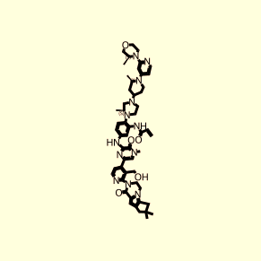 C=CC(=O)Nc1cc(Nc2nc(-c3ccnc(N4CCn5c(cc6c5CC(C)(C)C6)C4=O)c3CO)cn(C)c2=O)ccc1N1CCN(C2CCN(c3ccnc(N4CCOC[C@@H]4C)c3)[C@H](C)C2)C[C@@H]1C